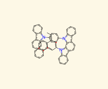 CC=C(/C=C(\C=C(/C)c1ccccc1)n1c2ccccc2c2ccc3c4ccccc4n(-c4ccc(-n5c6ccccc6c6ccccc65)cc4)c3c21)c1ccccc1